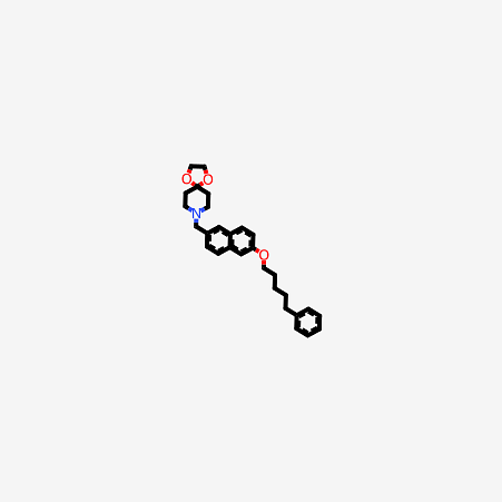 c1ccc(CCCCCOc2ccc3cc(CN4CCC5(CC4)OCCO5)ccc3c2)cc1